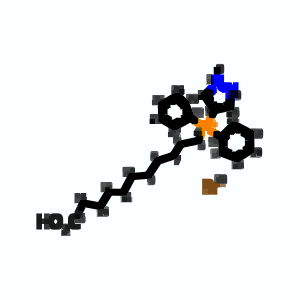 Cn1cc([P+](CCCCCCCCCCC(=O)O)(c2ccccc2)c2ccccc2)cn1.[Br-]